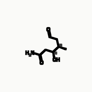 C[C@H](CC=O)[C@@H](O)CC(N)=O